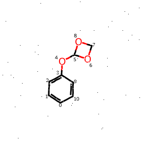 c1ccc(OC2OCO2)cc1